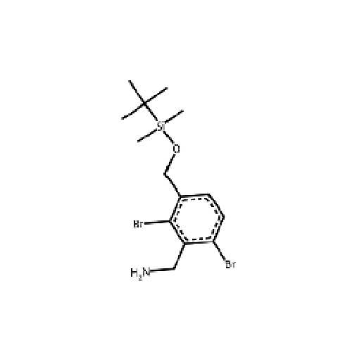 CC(C)(C)[Si](C)(C)OCc1ccc(Br)c(CN)c1Br